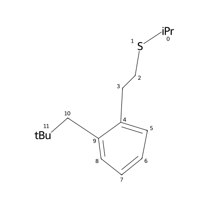 CC(C)SCCc1ccccc1CC(C)(C)C